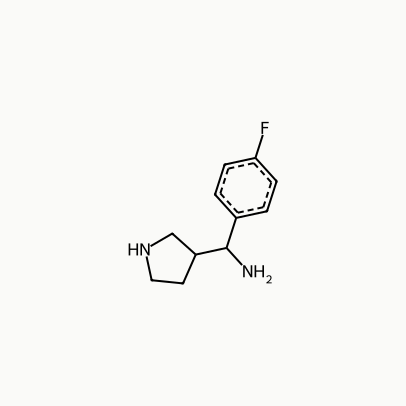 NC(c1ccc(F)cc1)C1CCNC1